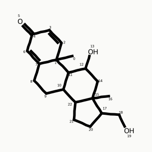 CC12C=CC(=O)C=C1CCC1C2C(O)CC2(C)C(CO)CCC12